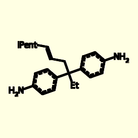 CCCC(C)/C=C/CC(CC)(c1ccc(N)cc1)c1ccc(N)cc1